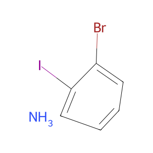 Brc1ccccc1I.N